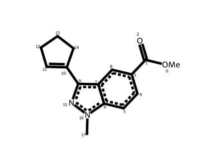 COC(=O)c1ccc2c(c1)c(C1=CCCC1)nn2C